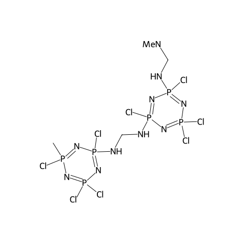 CNCNP1(Cl)=NP(Cl)(Cl)=NP(Cl)(NCNP2(Cl)=NP(Cl)(Cl)=NP(C)(Cl)=N2)=N1